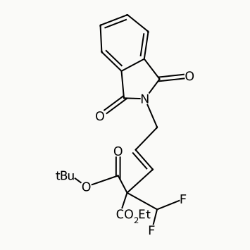 CCOC(=O)C(/C=C/CN1C(=O)c2ccccc2C1=O)(C(=O)OC(C)(C)C)C(F)F